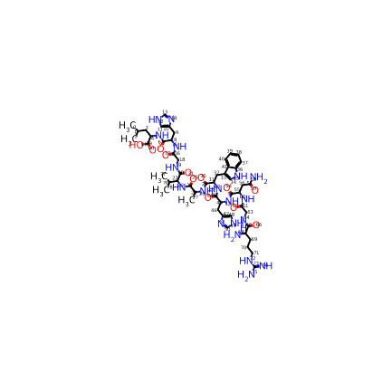 CC(C)CC(NC(=O)C(Cc1c[nH]cn1)NC(=O)CNC(=O)C(NC(=O)C(C)NC(=O)C(Cc1c[nH]c2ccccc12)NC(=O)C(Cc1c[nH]cn1)NC(=O)C(CC(N)=O)NC(=O)CNC(=O)C(N)CCCNC(=N)N)C(C)C)C(=O)O